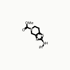 COC(=O)N1CCc2sc(NC(C)C)nc2C1